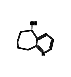 O[C@H]1CCCCc2ncccc21